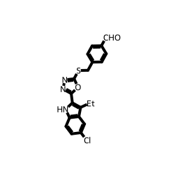 CCc1c(-c2nnc(SCc3ccc(C=O)cc3)o2)[nH]c2ccc(Cl)cc12